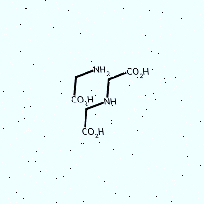 NCC(=O)O.O=C(O)CNCC(=O)O